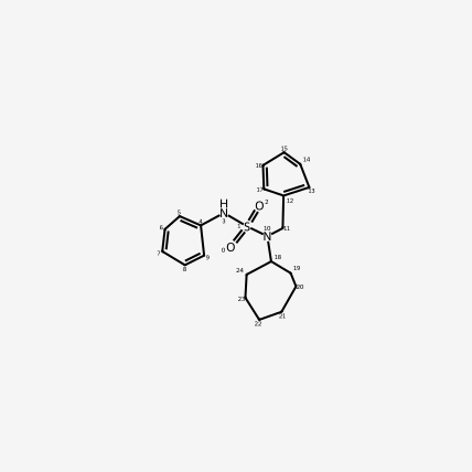 O=S(=O)(Nc1ccccc1)N(Cc1ccccc1)C1CCCCCC1